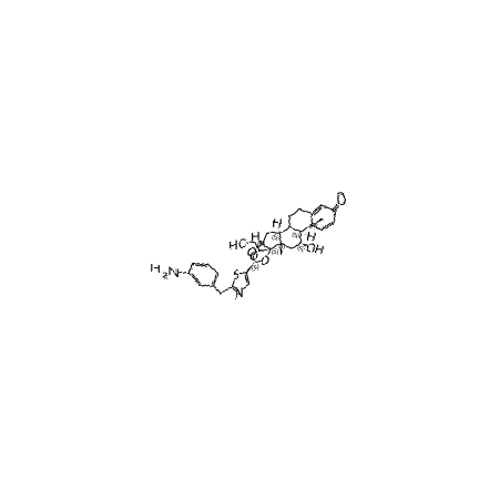 C[C@]12C=CC(=O)C=C1CCC1[C@@H]2[C@@H](O)C[C@@]2(C)[C@H]1C[C@H]1O[C@H](c3cnc(Cc4cccc(N)c4)s3)O[C@]12C(=O)CO